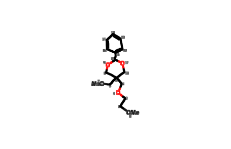 COCCOCC1(COC)COC(c2ccccc2)OC1